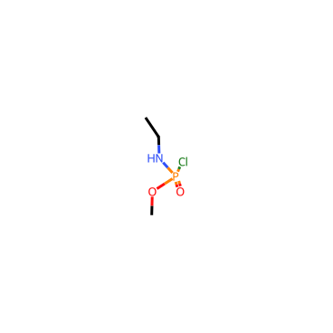 CCNP(=O)(Cl)OC